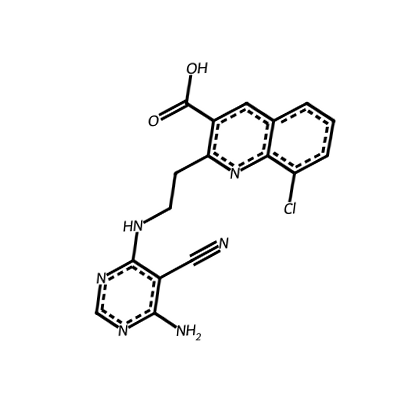 N#Cc1c(N)ncnc1NCCc1nc2c(Cl)cccc2cc1C(=O)O